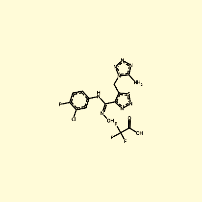 Nc1nnnn1Cc1snnc1C(=NO)Nc1ccc(F)c(Cl)c1.O=C(O)C(F)(F)F